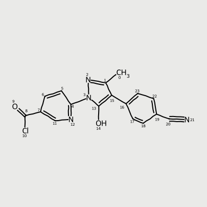 Cc1nn(-c2ccc(C(=O)Cl)cn2)c(O)c1-c1ccc(C#N)cc1